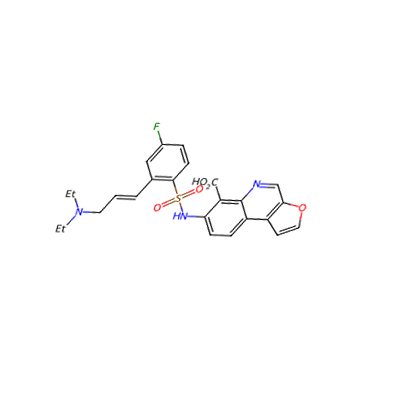 CCN(CC)CC=Cc1cc(F)ccc1S(=O)(=O)Nc1ccc2c(ncc3occc32)c1C(=O)O